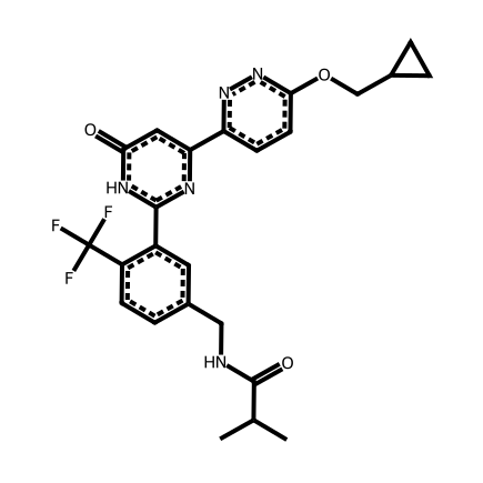 CC(C)C(=O)NCc1ccc(C(F)(F)F)c(-c2nc(-c3ccc(OCC4CC4)nn3)cc(=O)[nH]2)c1